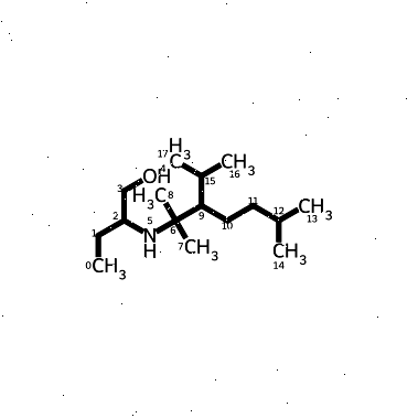 CCC(CO)NC(C)(C)C(CCC(C)C)C(C)C